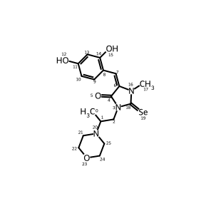 CC(CN1C(=O)C(=Cc2ccc(O)cc2O)N(C)C1=[Se])N1CCOCC1